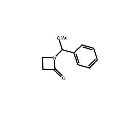 COC(c1ccccc1)N1CCC1=O